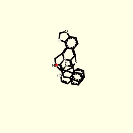 N#CC1=C2Cc3ccccc3C(=C3C4=c5ccc6c(c5=C(COCC5(CS4)NC=Cc4ccccc45)N13)OCO6)N2